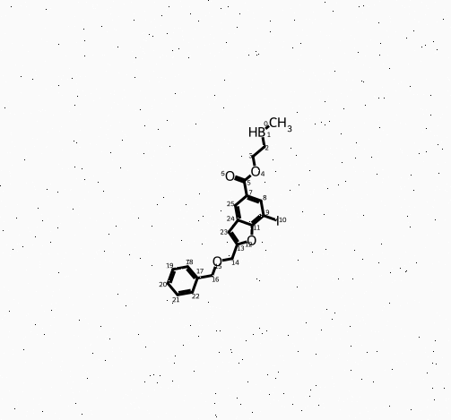 CBCCOC(=O)c1cc(I)c2oc(COCc3ccccc3)cc2c1